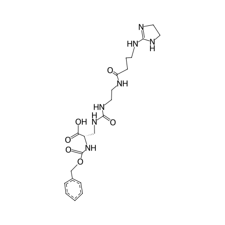 O=C(CCCNC1=NCCN1)NCCNC(=O)NC[C@H](NC(=O)OCc1ccccc1)C(=O)O